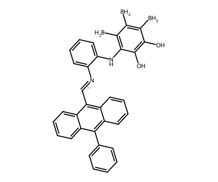 Bc1c(B)c(O)c(O)c(Nc2ccccc2/N=C/c2c3ccccc3c(-c3ccccc3)c3ccccc23)c1B